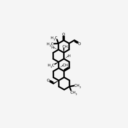 CC1(C)CC[C@]2(C=O)CC[C@]3(C)C(=CC[C@@H]4[C@@]5(C)CC(C=O)C(=O)C(C)(C)[C@@H]5CC[C@]43C)C2C1